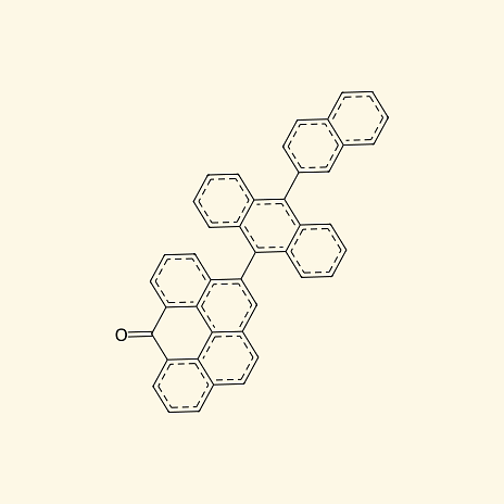 O=C1c2cccc3ccc4cc(-c5c6ccccc6c(-c6ccc7ccccc7c6)c6ccccc56)c5cccc1c5c4c23